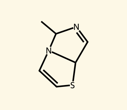 CC1N=CC2SC=CN12